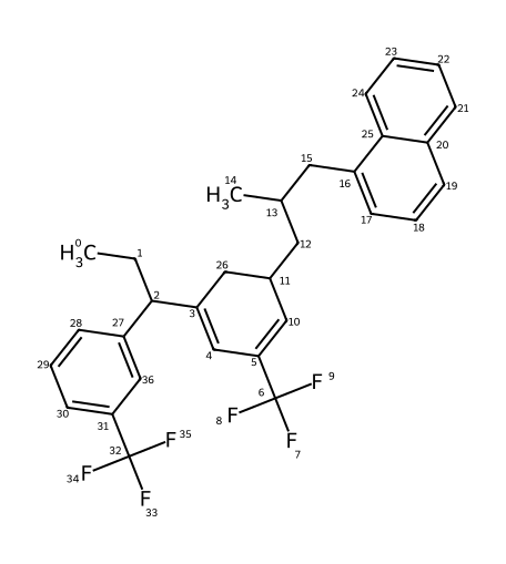 CCC(C1=CC(C(F)(F)F)=CC(CC(C)Cc2cccc3ccccc23)C1)c1cccc(C(F)(F)F)c1